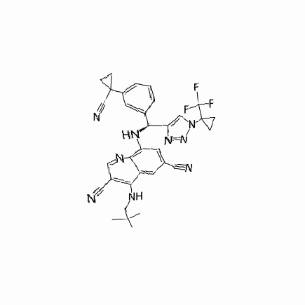 CC(C)(C)CNc1c(C#N)cnc2c(N[C@@H](c3cccc(C4(C#N)CC4)c3)c3cn(C4(C(F)(F)F)CC4)nn3)cc(C#N)cc12